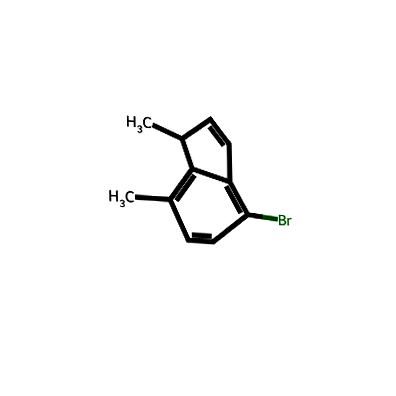 Cc1ccc(Br)c2c1C(C)C=C2